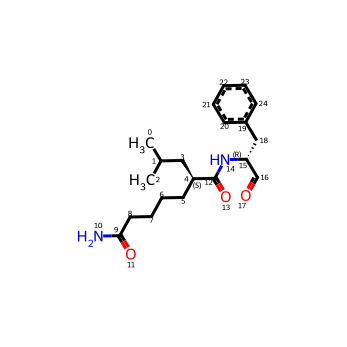 CC(C)C[C@H](CCCCC(N)=O)C(=O)N[C@@H](C=O)Cc1ccccc1